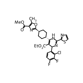 CCOC(=O)C1=C([C@H]2CC[C@H](c3nc(C(=O)OC)c(C)o3)CC2)NC(c2nccs2)=NC1c1ccc(F)c(F)c1Cl